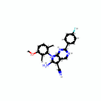 COc1ccc(C)c(-n2c(N)c(C#N)c3cnc(-c4ccc(F)cc4)nc32)c1C